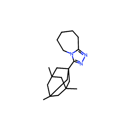 CC12CC3(C)CC(C)(C1)CC(c1nnc4n1CCCCC4)(C2)C3